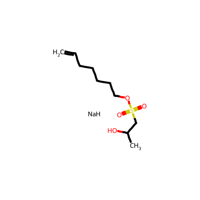 C=CCCCCCOS(=O)(=O)CC(C)O.[NaH]